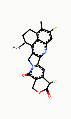 CCC1C(=O)OCc2c1cc1n(c2=O)Cc2c-1nc1cc(F)c(C)c3c1c2C(NC)CC3